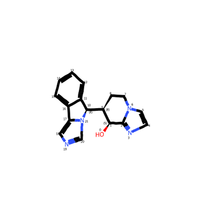 O[C@@H]1c2nccn2CC[C@@H]1[C@@H]1c2ccccc2-c2cncn21